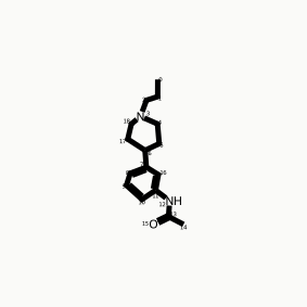 CC[CH]N1CCC(c2cccc(NC(C)=O)c2)CC1